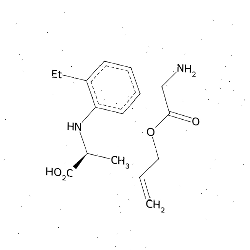 C=CCOC(=O)CN.CCc1ccccc1N[C@@H](C)C(=O)O